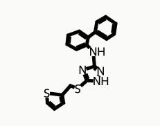 c1ccc(-c2ccccc2Nc2n[nH]c(SCc3cccs3)n2)cc1